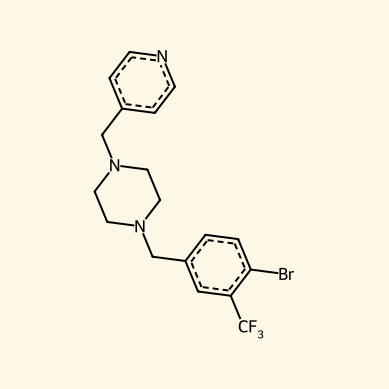 FC(F)(F)c1cc(CN2CCN(Cc3ccncc3)CC2)ccc1Br